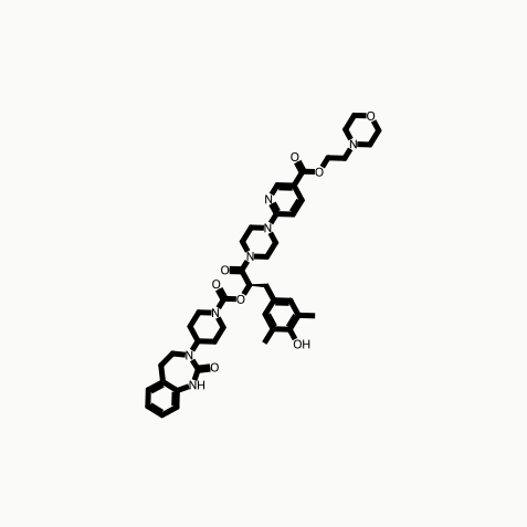 Cc1cc(C[C@@H](OC(=O)N2CCC(N3CCc4ccccc4NC3=O)CC2)C(=O)N2CCN(c3ccc(C(=O)OCCN4CCOCC4)cn3)CC2)cc(C)c1O